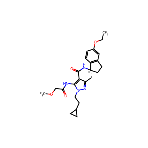 O=C(COC(F)(F)F)Nc1c2c(nn1CCC1CC1)C[C@]1(CCc3cc(OCC(F)(F)F)ccc31)NC2=O